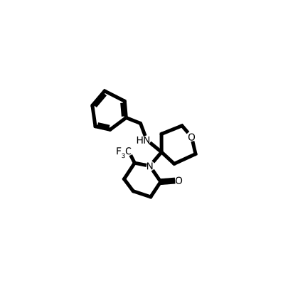 O=C1CCCC(C(F)(F)F)N1C1(NCc2ccccc2)CCOCC1